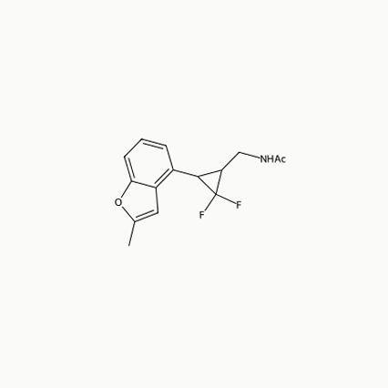 CC(=O)NCC1C(c2cccc3oc(C)cc23)C1(F)F